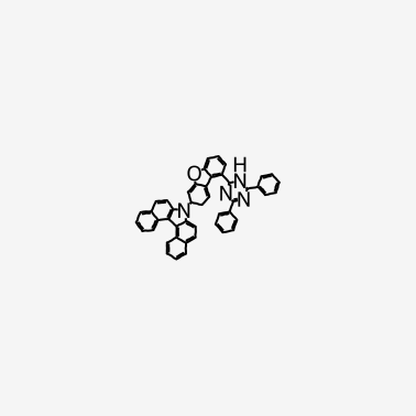 C1=c2oc3cccc(C4=NC(c5ccccc5)=NC(c5ccccc5)N4)c3c2=CCC1n1c2ccc3ccccc3c2c2c3ccccc3ccc21